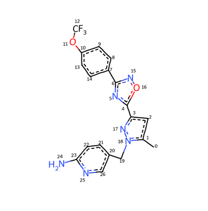 Cc1cc(-c2nc(-c3ccc(OC(F)(F)F)cc3)no2)nn1Cc1ccc(N)nc1